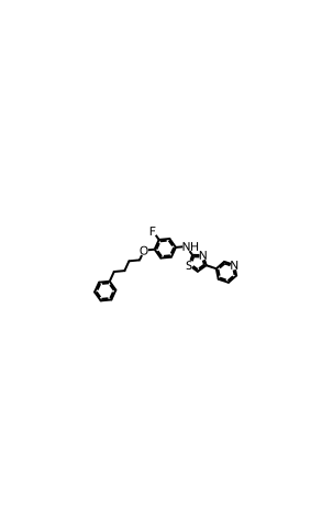 Fc1cc(Nc2nc(-c3cccnc3)cs2)ccc1OCCCCc1ccccc1